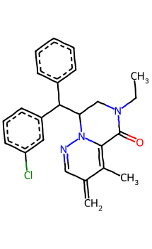 C=C1C=NN2C(=C1C)C(=O)N(CC)CC2C(c1ccccc1)c1cccc(Cl)c1